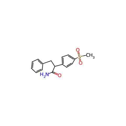 CS(=O)(=O)c1ccc(C(Cc2ccccc2)C(N)=O)cc1